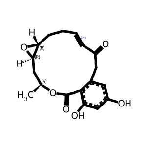 C[C@H]1C[C@H]2O[C@@H]2CC/C=C/C(=O)Cc2cc(O)cc(O)c2C(=O)O1